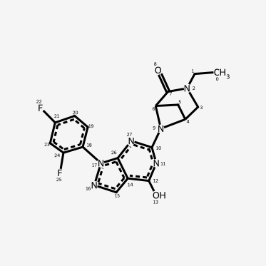 CCN1CC2CC(C1=O)N2c1nc(O)c2cnn(-c3ccc(F)cc3F)c2n1